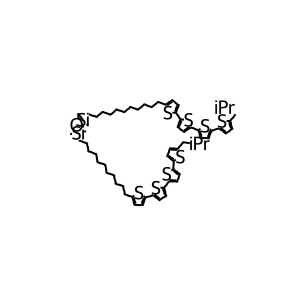 CC(C)Cc1ccc(-c2ccc(-c3ccc(-c4ccc(CCCCCCCCCCC[Si](C)(C)O[Si](C)(C)CCCCCCCCCCCc5ccc(-c6ccc(-c7ccc(-c8ccc(CC(C)C)s8)s7)s6)s5)s4)s3)s2)s1